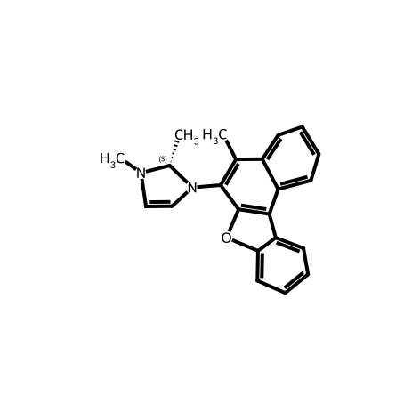 Cc1c(N2C=CN(C)[C@@H]2C)c2oc3ccccc3c2c2ccccc12